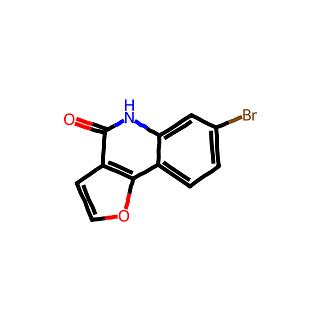 O=c1[nH]c2cc(Br)ccc2c2occc12